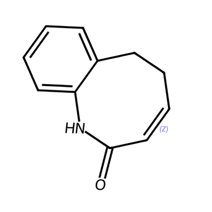 O=C1/C=C\CCc2ccccc2N1